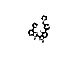 Fc1c(-c2cncc(CN3CCCC3)c2)ccc2[nH]nc(-c3nc4c(-c5cccs5)ccnc4[nH]3)c12